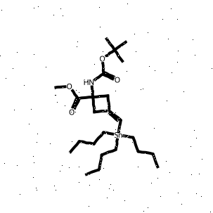 CCC[CH2][Sn]([CH]=C1CC(NC(=O)OC(C)(C)C)(C(=O)OC)C1)([CH2]CCC)[CH2]CCC